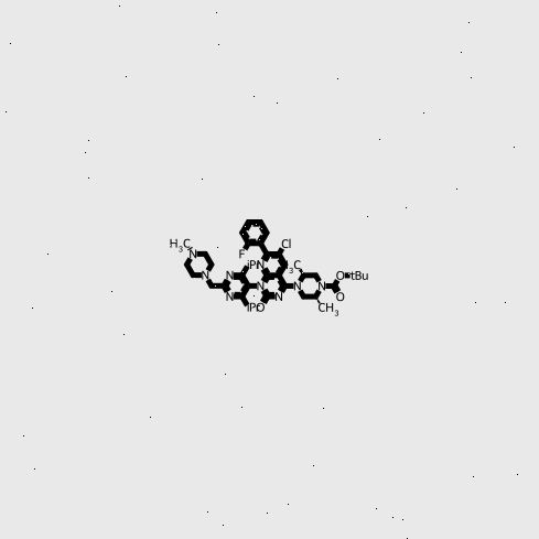 CC(C)c1nc(CN2CCN(C)CC2)nc(C(C)C)c1-n1c(=O)nc(N2C[C@@H](C)N(C(=O)OC(C)(C)C)C[C@@H]2C)c2cc(Cl)c(-c3ccccc3F)nc21